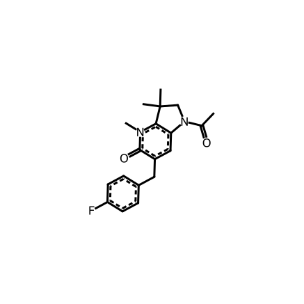 CC(=O)N1CC(C)(C)c2c1cc(Cc1ccc(F)cc1)c(=O)n2C